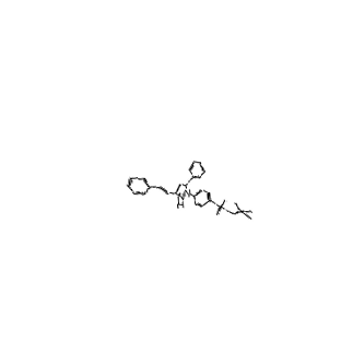 CC(C)(C)CC(C)(C)c1ccc(N2NC(C=Cc3ccccc3)=CC2c2ccccc2)cc1